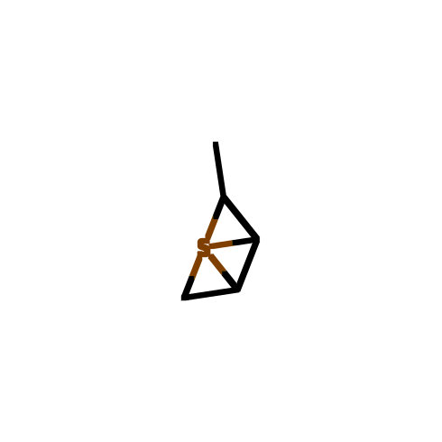 CC1C2C3CS132